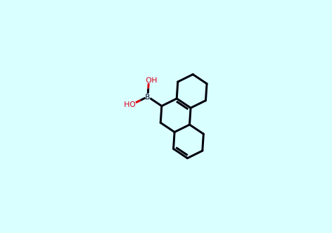 OB(O)C1CC2C=CCCC2C2=C1CCCC2